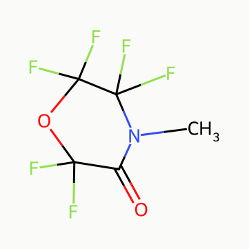 CN1C(=O)C(F)(F)OC(F)(F)C1(F)F